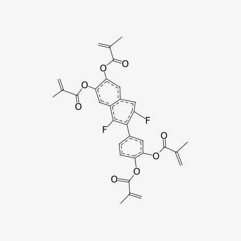 C=C(C)C(=O)Oc1ccc(-c2c(F)cc3cc(OC(=O)C(=C)C)c(OC(=O)C(=C)C)cc3c2F)cc1OC(=O)C(=C)C